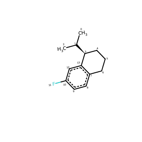 CC(C)[C@H]1CCCc2ccc(F)cc21